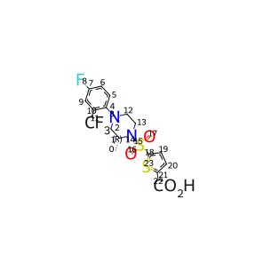 C[C@@H]1CN(c2ccc(F)cc2C(F)(F)F)CCN1S(=O)(=O)c1ccc(C(=O)O)s1